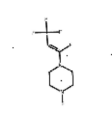 F/C(=C\C(F)(F)F)N1CCN(F)CC1